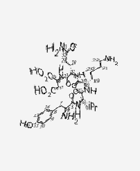 CC(C)[C@H](NC(=O)[C@@H](N)Cc1ccc(O)cc1)C(=O)N[C@@H](CCCCN)C(=O)N[C@@H](CCC(N)=O)C(=O)N[C@@H](CC(=O)O)C(=O)O